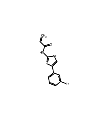 C=CC(=O)Nc1nc(-c2cccc(CC)c2)c[nH]1